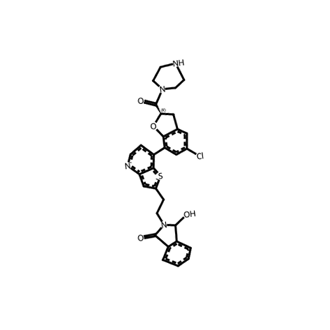 O=C([C@H]1Cc2cc(Cl)cc(-c3ccnc4cc(CCN5C(=O)c6ccccc6C5O)sc34)c2O1)N1CCNCC1